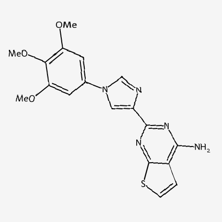 COc1cc(-n2cnc(-c3nc(N)c4ccsc4n3)c2)cc(OC)c1OC